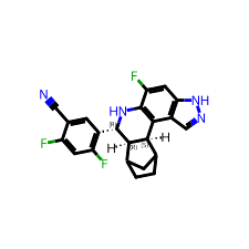 N#Cc1cc([C@@H]2Nc3c(F)cc4[nH]ncc4c3[C@H]3C4CCC(C4)[C@@H]23)c(F)cc1F